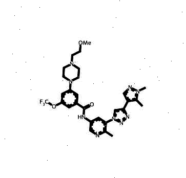 COCCN1CCN(c2cc(OC(F)(F)F)cc(C(=O)Nc3cnc(C)c(-n4cc(-c5cnn(C)c5C)nn4)c3)c2)CC1